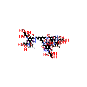 C\C(I)=C(C(=O)NCCCC(CCCNC(=O)c1c(I)c(NC(=O)C(O)C(O)CO)c(I)c(C(=O)N(C)CC(O)CO)c1I)CCCNC(=O)c1c(I)c(NC(=O)C(O)C(O)CO)c(I)c(C(=O)N(C)CC(O)CO)c1I)/C(I)=C(C(=O)N(C)CC(O)CO)\C(I)=C\NC(=O)C(O)C(O)CO